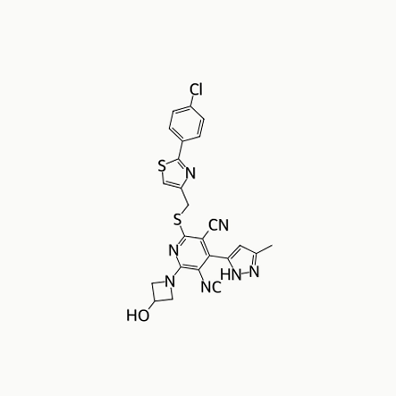 [C-]#[N+]c1c(N2CC(O)C2)nc(SCc2csc(-c3ccc(Cl)cc3)n2)c(C#N)c1-c1cc(C)n[nH]1